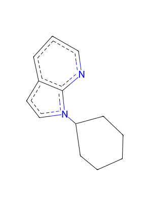 c1cnc2c(c1)ccn2C1CCCCC1